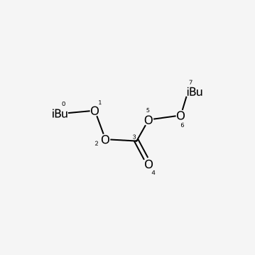 CCC(C)OOC(=O)OOC(C)CC